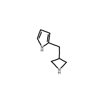 c1c[nH]c(CC2CNC2)c1